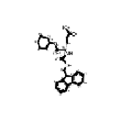 O=C(O)CC[C@H](NC(=O)OCC1c2ccccc2-c2ccccc21)C(=O)OC1CCCCC1